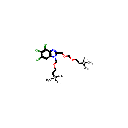 C[Si](C)(C)CCOCOCc1nc2c(Br)c(Cl)c(Cl)cc2n1COCC[Si](C)(C)C